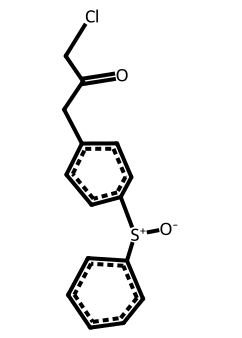 O=C(CCl)Cc1ccc([S+]([O-])c2ccccc2)cc1